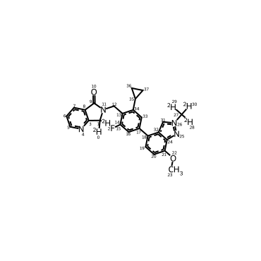 [2H]C1([2H])c2ncccc2C(=O)N1Cc1c(F)cc(-c2ccc(OC)c3nn(C([2H])([2H])[2H])cc23)cc1C1CC1